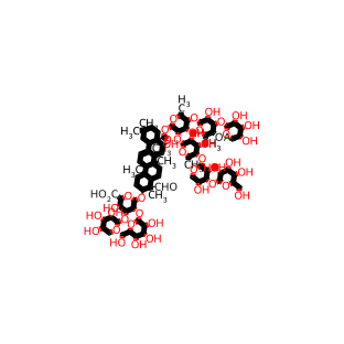 CC(=O)OC1C(C)OC(OC2C(C)OC(OC(=O)[C@]34CCC(C)(C)CC3C3=CCC5[C@@]6(C)CC[C@H](OC7OC(C(=O)O)C(O)C(OC8OCC(O)C(O)C8O)C7OC7OC(CO)C(O)C(O)C7O)[C@@](C)(C=O)C6CC[C@@]5(C)[C@]3(C)C[C@H]4O)C(OC3OC(C)C(OC4OCC(O)C(OC5OC(CO)C(O)C(O)C5O)C4O)C(O)C3O)C2O)C(O)C1OC1OCC(O)C(O)C1O